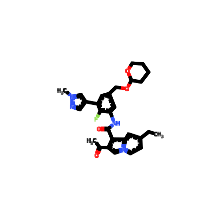 CCc1ccn2cc(C(C)=O)c(C(=O)Nc3cc(COC4CCCCO4)cc(-c4cnn(C)c4)c3F)c2c1